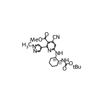 COC(=O)c1c(C#N)cc(N[C@@H]2CCCC[C@@H]2NC(=O)OC(C)(C)C)nc1-c1cnn(C)c1